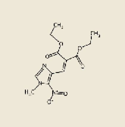 CCOC(=O)C(=Cc1ncn(C)c1[N+](=O)[O-])C(=O)OCC